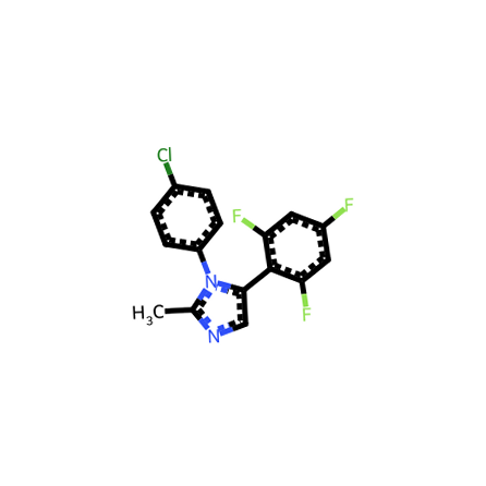 Cc1ncc(-c2c(F)cc(F)cc2F)n1-c1ccc(Cl)cc1